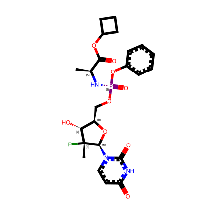 C[C@H](N[P@](=O)(OC[C@H]1O[C@@H](n2ccc(=O)[nH]c2=O)[C@](C)(F)[C@@H]1O)Oc1ccccc1)C(=O)OC1CCC1